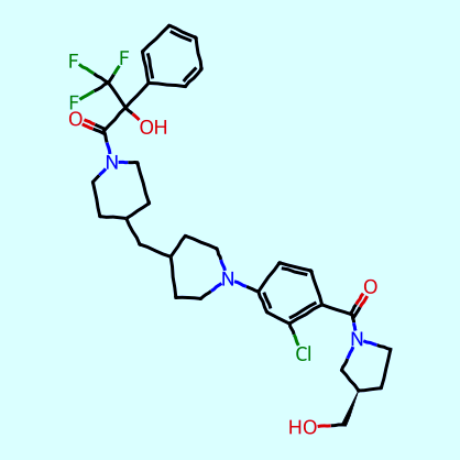 O=C(c1ccc(N2CCC(CC3CCN(C(=O)C(O)(c4ccccc4)C(F)(F)F)CC3)CC2)cc1Cl)N1CC[C@@H](CO)C1